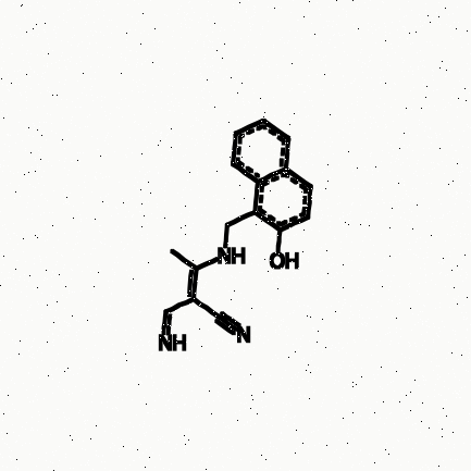 C/C(NCc1c(O)ccc2ccccc12)=C(/C#N)C=N